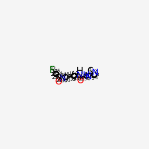 Cc1ncccc1N1CC(C(=O)Nc2ccc(C3CCN(C(=O)c4ccc(F)cc4)CC3)cc2)C1